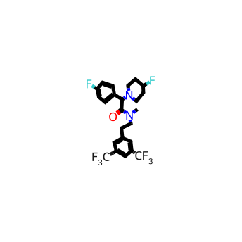 CN(CCc1cc(C(F)(F)F)cc(C(F)(F)F)c1)C(=O)C(c1ccc(F)cc1)N1CCC(F)CC1